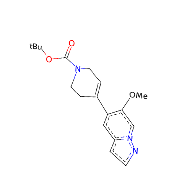 COc1cn2nccc2cc1C1=CCN(C(=O)OC(C)(C)C)CC1